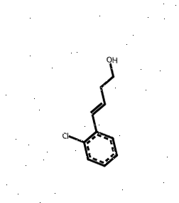 OCC/C=C/c1ccccc1Cl